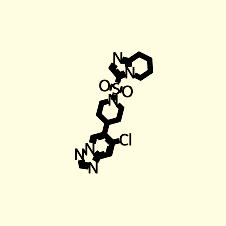 O=S(=O)(c1cnc2n1CCCC2)N1CCC(c2cn3ncnc3cc2Cl)CC1